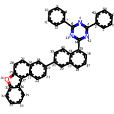 c1ccc(-c2nc(-c3ccccc3)nc(-c3cccc4cc(-c5ccc6c(ccc7oc8ccccc8c76)c5)ccc34)n2)cc1